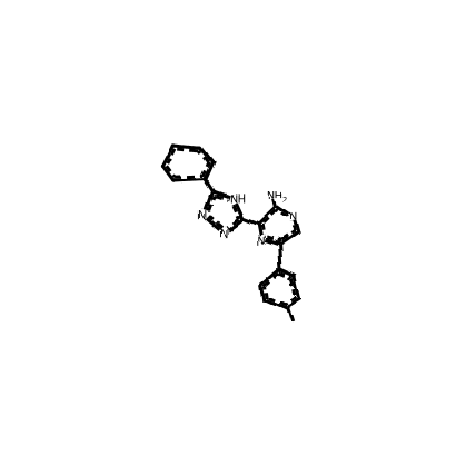 Cc1ccc(-c2cnc(N)c(-c3nnc(-c4ccccc4)[nH]3)n2)cc1